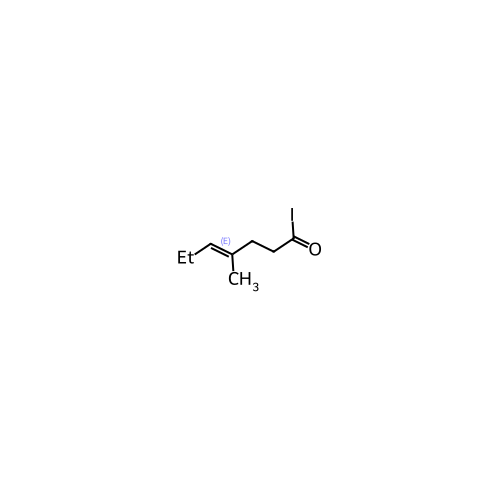 CC/C=C(\C)CCC(=O)I